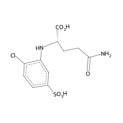 NC(=O)CC[C@H](Nc1cc(S(=O)(=O)O)ccc1Cl)C(=O)O